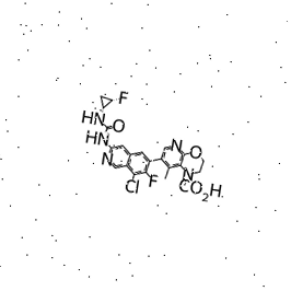 Cc1c(-c2cc3cc(NC(=O)N[C@@H]4C[C@@H]4F)ncc3c(Cl)c2F)cnc2c1N(C(=O)O)CCO2